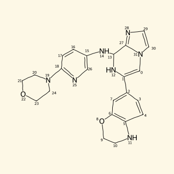 C1=C(c2ccc3c(c2)OCCN3)NC(Nc2ccc(N3CCOCC3)nc2)c2nccn21